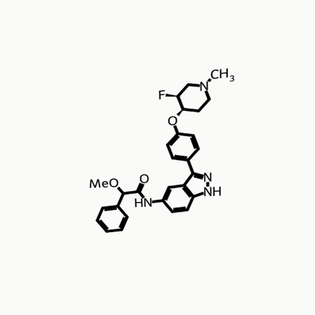 COC(C(=O)Nc1ccc2[nH]nc(-c3ccc(O[C@@H]4CCN(C)C[C@@H]4F)cc3)c2c1)c1ccccc1